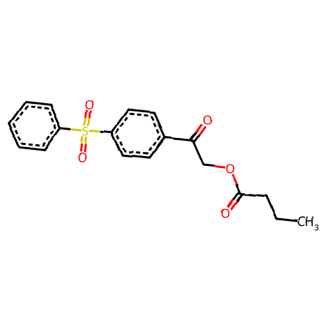 CCCC(=O)OCC(=O)c1ccc(S(=O)(=O)c2ccccc2)cc1